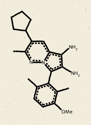 COc1ccc(C)c(-c2c(N)c(N)c3cc(C4CCCC4)c(C)nn23)c1C